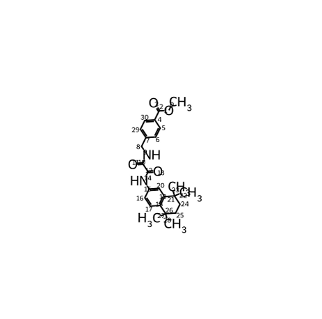 COC(=O)c1ccc(CNC(=O)C(=O)Nc2ccc3c(c2)C(C)(C)CCC3(C)C)cc1